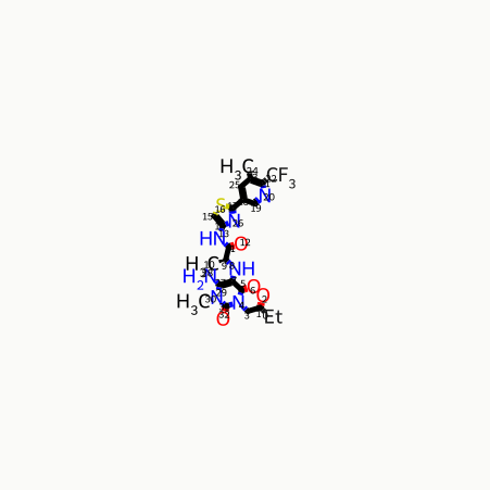 CCC(=O)Cn1c(=O)c(N[C@@H](C)C(=O)Nc2csc(-c3cnc(C(F)(F)F)c(C)c3)n2)c(N)n(C)c1=O